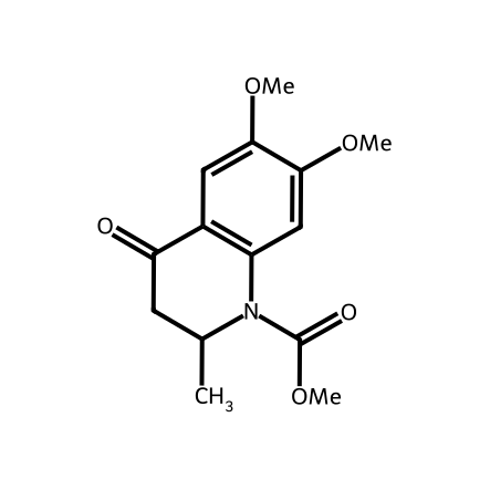 COC(=O)N1c2cc(OC)c(OC)cc2C(=O)CC1C